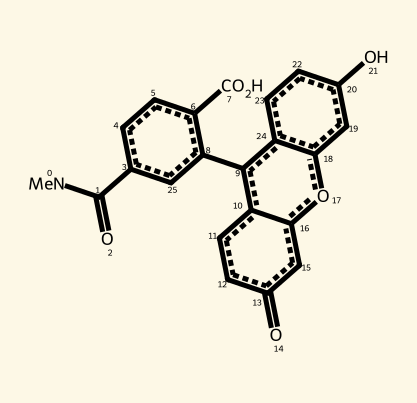 CNC(=O)c1ccc(C(=O)O)c(-c2c3ccc(=O)cc-3oc3cc(O)ccc23)c1